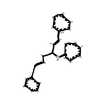 C(=Cc1ccccc1)CC(C=Cc1ccccc1)Oc1ccccc1